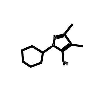 Cc1nn(C2CCCCC2)c(C(C)C)c1C